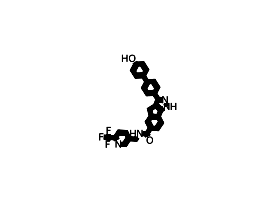 O=C(NCc1ccc(C(F)(F)F)nc1)c1ccc2c(c1)Cc1c(-c3ccc(-c4ccc(O)cc4)cc3)n[nH]c1-2